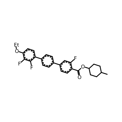 CCOc1ccc(-c2ccc(-c3ccc(C(=O)OC4CCC(C)CC4)c(F)c3)cc2)c(F)c1F